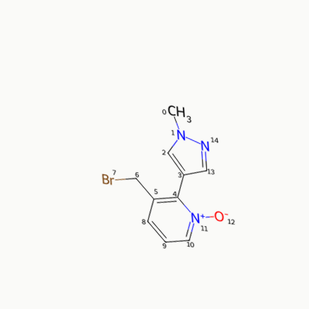 Cn1cc(-c2c(CBr)ccc[n+]2[O-])cn1